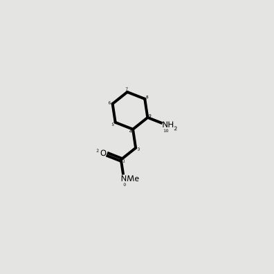 CNC(=O)CC1CCCCC1N